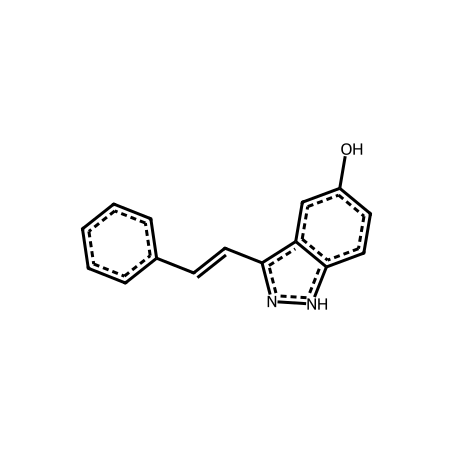 Oc1ccc2[nH]nc(C=Cc3ccccc3)c2c1